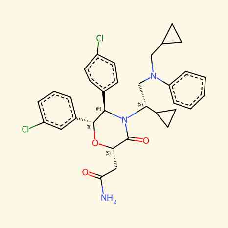 NC(=O)C[C@@H]1O[C@H](c2cccc(Cl)c2)[C@@H](c2ccc(Cl)cc2)N([C@H](CN(CC2CC2)c2ccccc2)C2CC2)C1=O